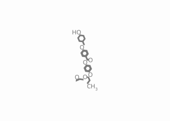 CCCC(OCC1CO1)Oc1ccc(OC(=O)c2ccc(OCC3CCC(O)CC3)cc2)cc1